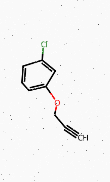 C#CCOc1cccc(Cl)c1